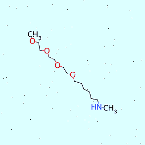 CNCCCCCCOCCOCCOCCOC